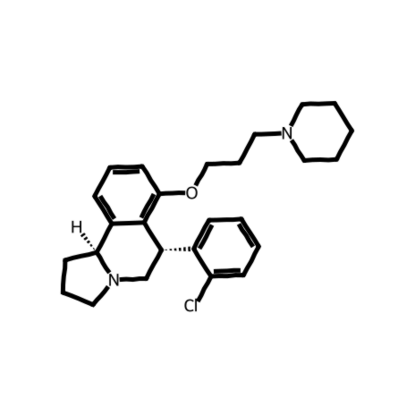 Clc1ccccc1[C@@H]1CN2CCC[C@H]2c2cccc(OCCCN3CCCCC3)c21